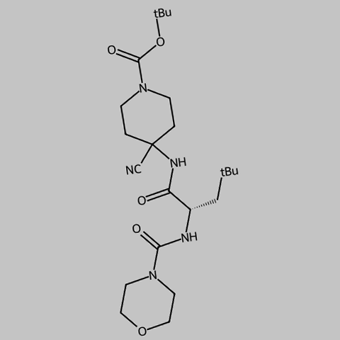 CC(C)(C)C[C@H](NC(=O)N1CCOCC1)C(=O)NC1(C#N)CCN(C(=O)OC(C)(C)C)CC1